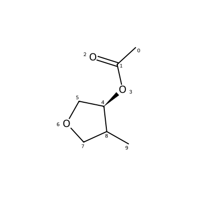 CC(=O)O[C@@H]1COCC1C